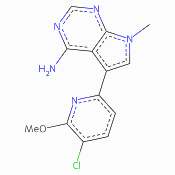 COc1nc(-c2cn(C)c3ncnc(N)c23)ccc1Cl